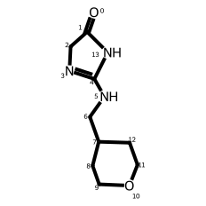 O=C1CN=C(NCC2CCOCC2)N1